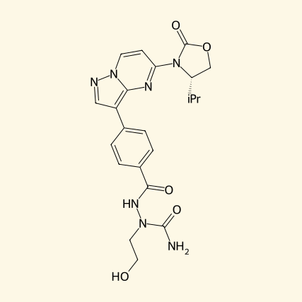 CC(C)[C@H]1COC(=O)N1c1ccn2ncc(-c3ccc(C(=O)NN(CCO)C(N)=O)cc3)c2n1